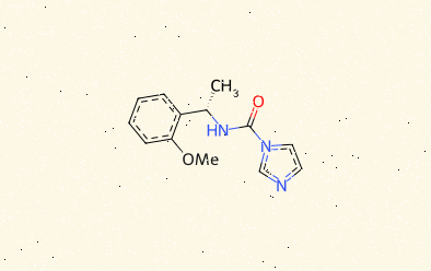 COc1ccccc1[C@H](C)NC(=O)n1ccnc1